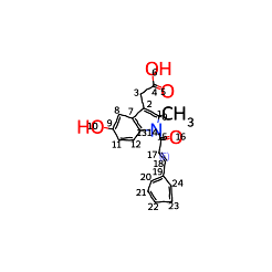 Cc1c(CC(=O)O)c2cc(O)ccc2n1C(=O)/C=C/c1ccccc1